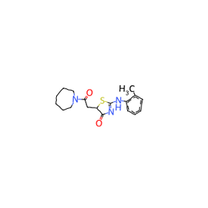 Cc1ccccc1NC1=NC(=O)C(CC(=O)N2CCCCCC2)S1